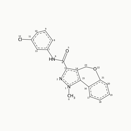 Cn1nc(C(=O)Nc2cccc(Cl)c2)c2c1-c1ccccc1OC2